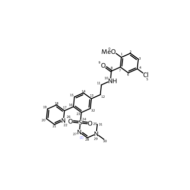 COc1ccc(Cl)cc1C(=O)NCCc1ccc(-c2ccccn2)c(S(=O)(=O)/N=C\N(C)C)c1